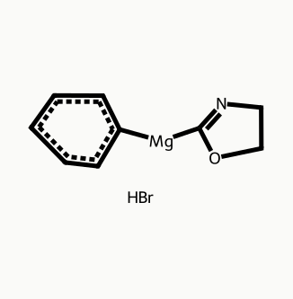 Br.c1cc[c]([Mg][C]2=NCCO2)cc1